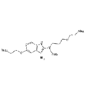 CCCCCCCCCCCCOCCCN(C=O)c1[nH]c2ccc(OCCOC)cc2c1N